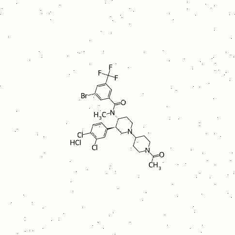 CC(=O)N1CCC(N2CC[C@@H](N(C)C(=O)c3cc(Br)cc(C(F)(F)F)c3)[C@H](c3ccc(Cl)c(Cl)c3)C2)CC1.Cl